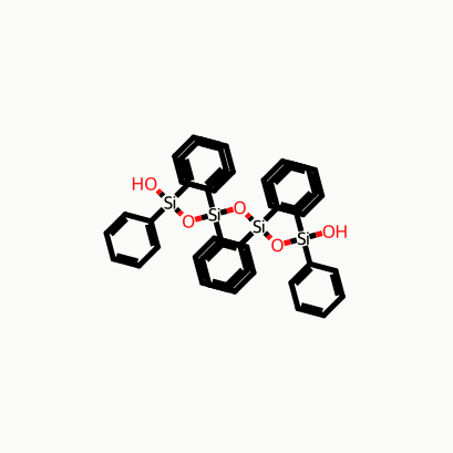 O[Si](O[Si](O[Si](O[Si](O)(c1ccccc1)c1ccccc1)(c1ccccc1)c1ccccc1)(c1ccccc1)c1ccccc1)(c1ccccc1)c1ccccc1